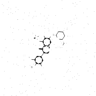 COc1cc(-c2coc3cc(O[C@@H]4O[C@H](CO)[C@@H](O)[C@H](O)[C@H]4O)c(OC)c(OP(=O)(O)O)c3c2=O)cc(O)c1OC